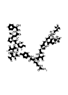 CC[C@H](C)[C@@H]([C@@H](CC(=O)N1CCC[C@H]1[C@H](OC)[C@@H](C)C(=O)N[C@H](C)[C@@H](O)c1ccccc1)OC)N(C)C(=O)[C@@H](NC(=O)[C@H](C(C)C)N(C)C(=O)OCc1ccc(NC(=O)[C@H](CCCNC(N)=O)NC(=O)[C@@H](NC(=O)Cn2cc(CN(CCOP(=O)([O-])OCC[N+](C)(C)C)C(=O)c3cnc(S(C)(=O)=O)nc3)nn2)C(C)C)cc1)C(C)C